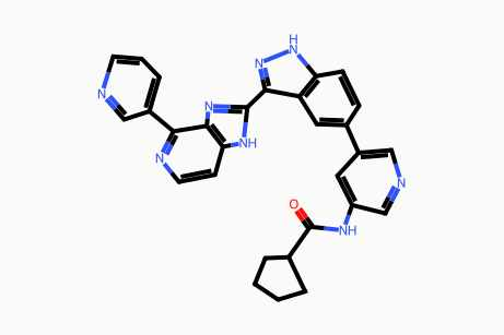 O=C(Nc1cncc(-c2ccc3[nH]nc(-c4nc5c(-c6cccnc6)nccc5[nH]4)c3c2)c1)C1CCCC1